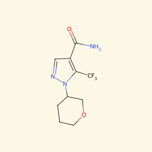 NC(=O)c1cnn(C2CCCOC2)c1C(F)(F)F